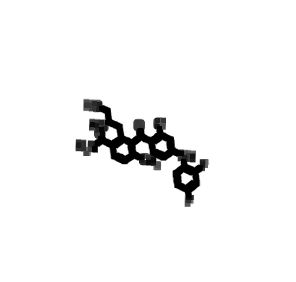 Cc1ccc(C(N)=O)c(CC(O)CO)c1C(=O)c1ccc(Nc2ccc(F)cc2F)cc1Cl